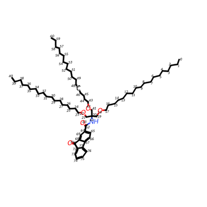 CCCCCCCCCCCCCCCCCCOCC(COCCCCCCCCCCCCCCCCCC)(COCCCCCCCCCCCCCCCCCC)NC(=O)c1ccc2c(c1)C(=O)c1ccccc1-2